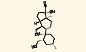 C#C[C@]1(O)CC[C@H]2[C@H](CO)[C@@H]([C@@]3(C)CC[C@H](C)C[C@@H]3CO)CC[C@@]21C